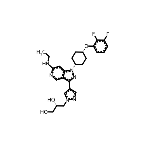 CCNc1cc2c(cn1)c(-c1cnn(C[C@@H](O)CO)c1)nn2[C@H]1CC[C@@H](Oc2cccc(F)c2F)CC1